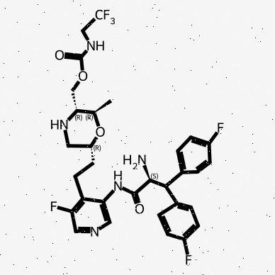 C[C@H]1O[C@H](CCc2c(F)cncc2NC(=O)[C@@H](N)C(c2ccc(F)cc2)c2ccc(F)cc2)CN[C@@H]1COC(=O)NCC(F)(F)F